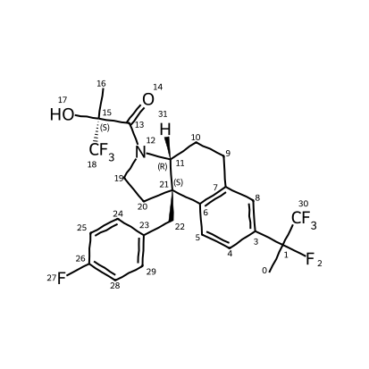 CC(F)(c1ccc2c(c1)CC[C@H]1N(C(=O)[C@](C)(O)C(F)(F)F)CC[C@@]21Cc1ccc(F)cc1)C(F)(F)F